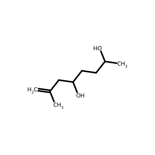 C=C(C)CC(O)CCC(C)O